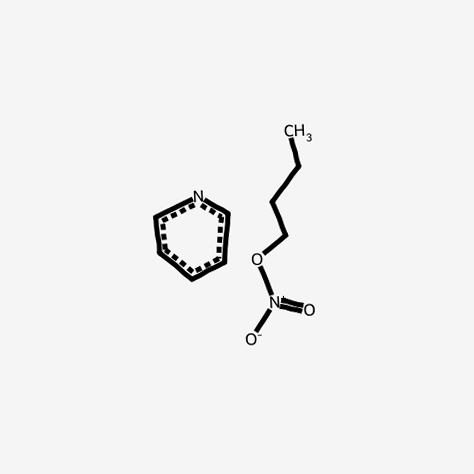 CCCCO[N+](=O)[O-].c1ccncc1